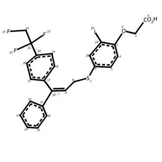 O=C(O)COc1ccc(SC/C=C(/c2ccccc2)c2ccc(C(F)(F)CF)cc2)cc1I